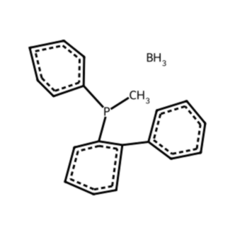 B.CP(c1ccccc1)c1ccccc1-c1ccccc1